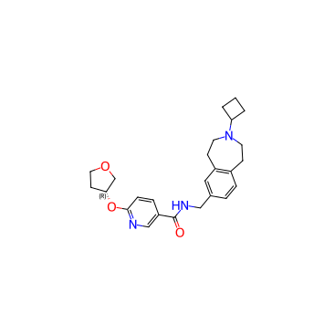 O=C(NCc1ccc2c(c1)CCN(C1CCC1)CC2)c1ccc(O[C@@H]2CCOC2)nc1